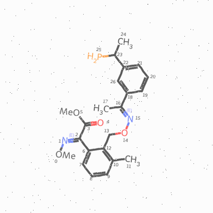 CO/N=C(/C(=O)OC)c1cccc(C)c1CO/N=C(\C)c1cccc(C(C)P)c1